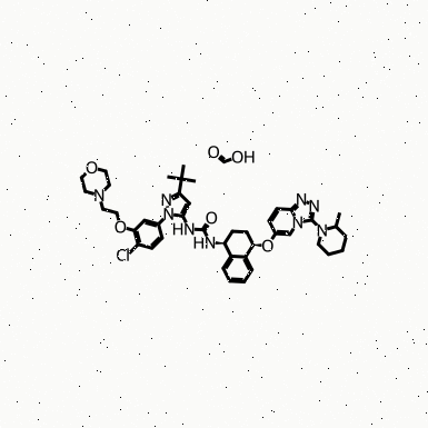 CC1CCCCN1c1nnc2ccc(O[C@@H]3CC[C@H](NC(=O)Nc4cc(C(C)(C)C)nn4-c4ccc(Cl)c(OCCN5CCOCC5)c4)c4ccccc43)cn12.O=CO